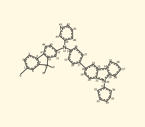 Cc1ccc2c(c1)C(C)(C)c1cc(N(c3ccc(-c4ccc5c(c4)c4ccccc4n5-c4ccccc4)cc3)c3cccnc3)ccc1-2